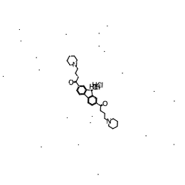 Cl.Cl.O=C(CCCN1CCCCC1)c1ccc2c(c1)C(=O)c1cc(C(=O)CCCN3CCCCC3)ccc1-2